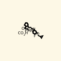 O=C(O)Cn1nc(Cc2nc3cc(OCC4CC4)c(F)cc3[nH]2)c2ccccc2c1=O